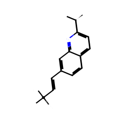 CC(=O)O[C@H](C)c1ccc2ccc(/C=C/C(C)(C)C(C)=O)cc2n1